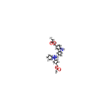 C=CC(=O)OCc1ccc(N(N=Cc2ccc3c(c2)c2cc(COC(=O)C=C)ccc2n3C)c2ccccc2)cc1